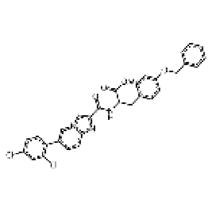 COC(=O)C(Cc1ccc(OCc2ccccc2)cc1)NC(=O)c1cn2cc(-c3ccc(Cl)cc3Cl)ccc2n1